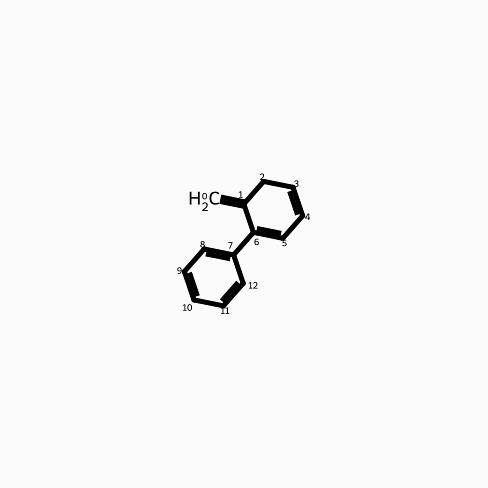 C=C1CC=CC=C1c1ccccc1